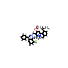 CCc1cccc(CC)c1-c1cc(OC)c(CN(CCc2ccccc2)Cc2ccccc2F)cn1